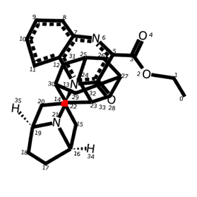 CCOC(=O)c1nc2ccccc2n([C@H]2C[C@H]3CC[C@@H](C2)N3C2C3CC4CC(C3)CC2C4)c1=O